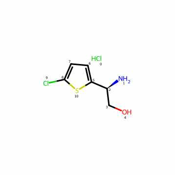 Cl.N[C@@H](CO)c1ccc(Cl)s1